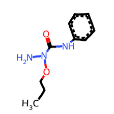 CCCON(N)C(=O)Nc1ccccc1